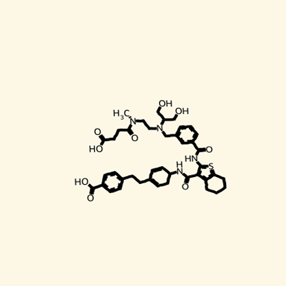 CN(CCN(Cc1cccc(C(=O)Nc2sc3c(c2C(=O)NC2C=CC(CCc4ccc(C(=O)O)cc4)=CC2)CCCC3)c1)C(CO)CO)C(=O)CCC(=O)O